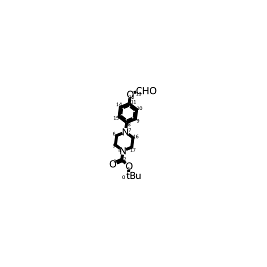 CC(C)(C)OC(=O)N1CCN(c2ccc(OC=O)cc2)CC1